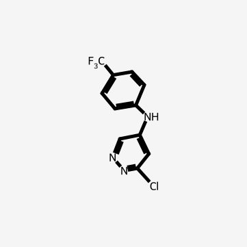 FC(F)(F)c1ccc(Nc2cnnc(Cl)c2)cc1